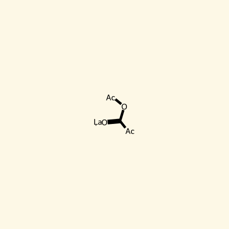 CC(=O)OC(=O)C(C)=O.[La]